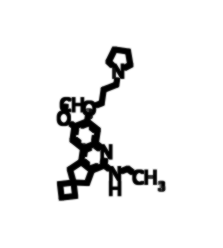 CCNc1nc2cc(OCCCN3CCCC3)c(OC)cc2c2c1CC1(CCC1)C2